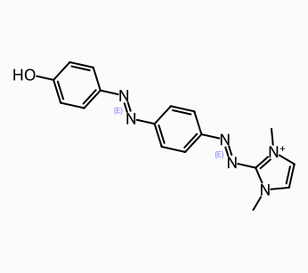 Cn1cc[n+](C)c1/N=N/c1ccc(/N=N/c2ccc(O)cc2)cc1